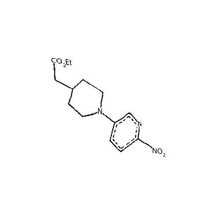 CCOC(=O)CC1CCN(c2ccc([N+](=O)[O-])nc2)CC1